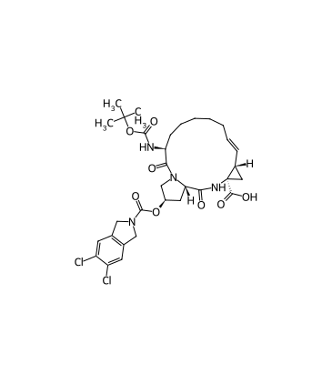 CC(C)(C)OC(=O)N[C@H]1CCCCC/C=C/[C@@H]2C[C@@]2(C(=O)O)NC(=O)[C@@H]2C[C@@H](OC(=O)N3Cc4cc(Cl)c(Cl)cc4C3)CN2C1=O